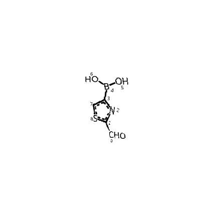 O=Cc1nc(B(O)O)cs1